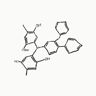 COc1cc(C)c(O)cc1N(c1ccc(-c2ccccc2)c(-c2ccccc2)c1)c1cc(O)c(C)cc1O